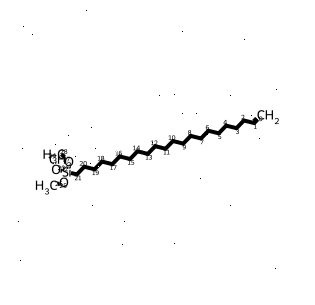 C=CCCCCCCCCCCCCCCCCCCCC[Si](OC)(OC)OC